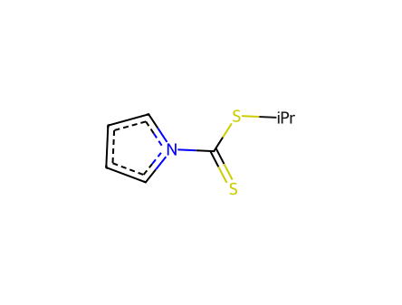 CC(C)SC(=S)n1cccc1